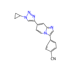 N#Cc1ccc(-c2cnc3cc(-c4cn(C5CC5)nn4)ccn23)cc1